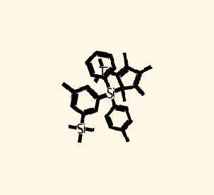 CC1=C(C)C(C)([Si](c2ccccc2)(c2ccc(C)cc2)c2cc(C)cc([Si](C)(C)C)c2)[C]([Ti]([CH3])[CH3])=C1C